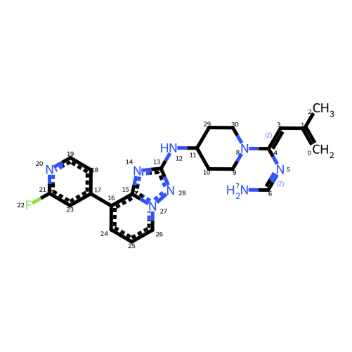 C=C(C)/C=C(\N=C/N)N1CCC(Nc2nc3c(-c4ccnc(F)c4)cccn3n2)CC1